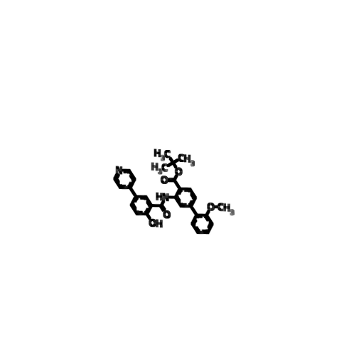 COc1ccccc1-c1ccc(C(=O)OC(C)(C)C)c(NC(=O)c2cc(-c3ccncc3)ccc2O)c1